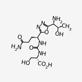 C[C@@H](O)[C@H](N)c1nnc([C@H](CCC(N)=O)NC(=O)N[C@@H](CO)C(=O)O)o1